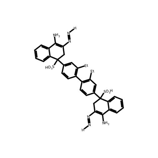 [H]/N=N/C1=C(N)c2ccccc2C(c2ccc(-c3ccc(C4(S(=O)(=O)O)CC(/N=N/[H])=C(N)c5ccccc54)cc3CC)c(CC)c2)(S(=O)(=O)O)C1